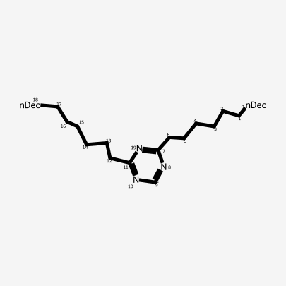 CCCCCCCCCCCCCCCCc1n[c]nc(CCCCCCCCCCCCCCCC)n1